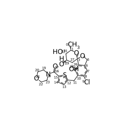 C[C@H]1O[C@]2(OCc3cc(Cl)c(Cc4ccc(C(=O)N5CCOCC5)s4)cc32)[C@H](O)[C@@H](O)[C@@H]1O